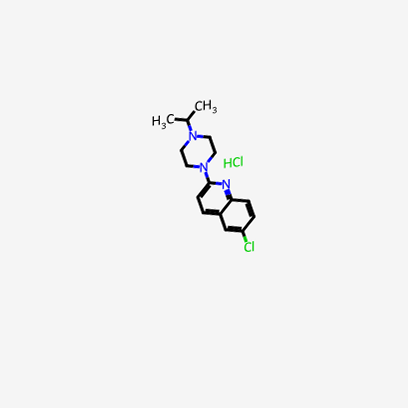 CC(C)N1CCN(c2ccc3cc(Cl)ccc3n2)CC1.Cl